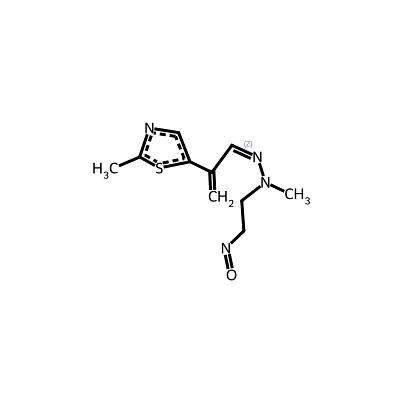 C=C(/C=N\N(C)CCN=O)c1cnc(C)s1